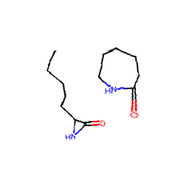 CCCCC1NC1=O.O=C1CCCCCN1